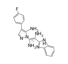 N/C(=C(/N)n1ncc(-c2ccc(F)cc2)c1N)c1nc2ccccc2[nH]1